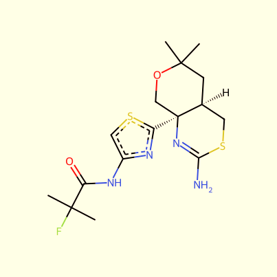 CC1(C)C[C@H]2CSC(N)=N[C@@]2(c2nc(NC(=O)C(C)(C)F)cs2)CO1